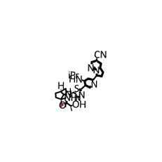 CC(C)Nc1cc(-c2ccc3cc(C#N)cnn23)ncc1-c1nnc(N2C[C@H]3CC[C@@H](C2)[C@H]3NC(=O)[C@H](C)O)s1